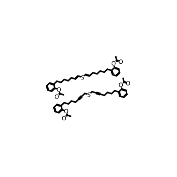 CC(=O)Oc1ccccc1CCCCC#CCSCC#CCCCCc1ccccc1OC(C)=O.CC(=O)Oc1ccccc1CCCCCC=CSC=CCCCCCc1ccccc1OC(C)=O